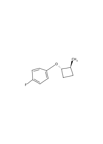 C[C@H]1CC[C@@H]1Oc1ccc(F)cc1